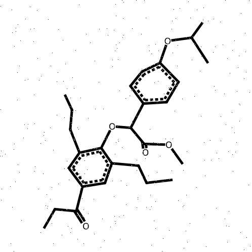 CCCc1cc(C(=O)CC)cc(CCC)c1OC(C(=O)OC)c1ccc(OC(C)C)cc1